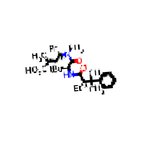 CC[C@H](C(=O)N[C@H](C(=O)N(C)[C@H](C=C(C)C(=O)O)C(C)C)C(C)(C)C)C(C)(C)c1ccccc1